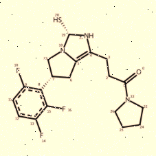 O=C(CCC1=C2C[C@H](c3c(F)ccc(F)c3F)CN2[C@H](S)N1)N1CCCC1